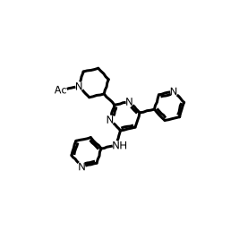 CC(=O)N1CCCC(c2nc(Nc3cccnc3)cc(-c3cccnc3)n2)C1